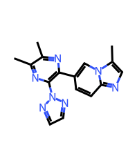 Cc1nc(-c2ccc3ncc(C)n3c2)c(-n2nccn2)nc1C